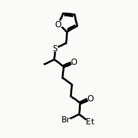 CCC(Br)C(=O)CCCC(=O)C(C)SCc1ccco1